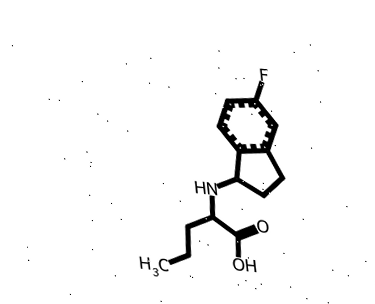 CCCC(NC1CCc2cc(F)ccc21)C(=O)O